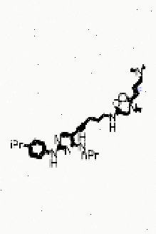 CCCNc1nc(Nc2ccc(C(C)C)cc2)ncc1C#CCCCNC(=O)CN(C)C(=O)/C=C/CN(C)C